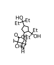 CCC(O)(CC)C1CC(OC(=O)C(C)(I)C23NC2N3)C(C(O)(CC)CC)C1